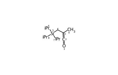 CC(=C=O)C[Si](C(C)C)(C(C)C)C(C)C